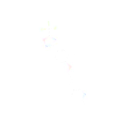 Cc1ccc(CCCOc2c(C)cc(-c3noc(C(F)(F)F)n3)cc2C)cn1